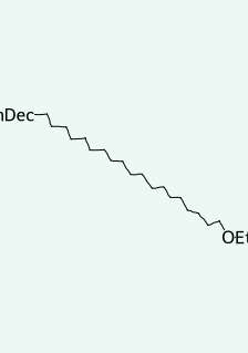 [CH2]CCCCCCCCCCCCCCCCCCCCCCCCCCCCOCC